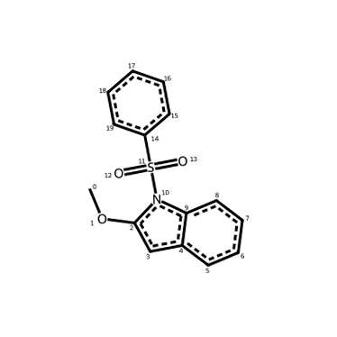 COc1cc2ccccc2n1S(=O)(=O)c1ccccc1